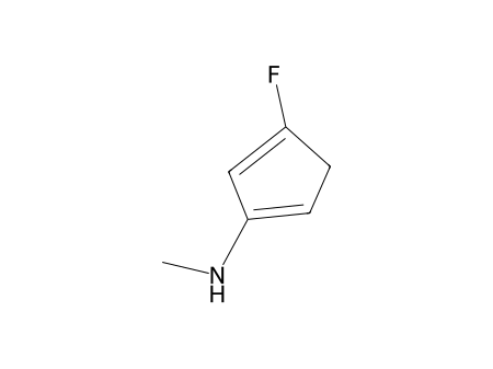 CNC1=CCC(F)=C1